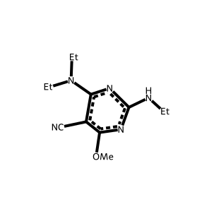 CCNc1nc(OC)c(C#N)c(N(CC)CC)n1